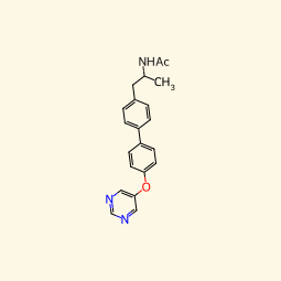 CC(=O)NC(C)Cc1ccc(-c2ccc(Oc3cncnc3)cc2)cc1